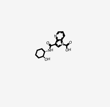 O=C(N[C@H]1CCCC[C@@H]1O)c1cn(C(=O)O)c2cccnc12